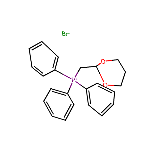 [Br-].c1ccc([P+](CC2OCCCO2)(c2ccccc2)c2ccccc2)cc1